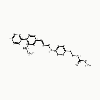 CC(C)(C)OC(=O)NCCc1ccc(OC/C=C/c2ccc(-c3ccccc3)c(NC(=O)O)c2)cc1